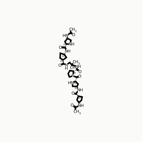 CC(=O)N[C@H]1CC[C@H](C(=O)N[C@H]2CN[C@H](C(=O)N3CCC[C@@H]3C(=O)NC(C)(C)CNC(=O)[C@H]3CC[C@H](NC(=O)[C@@H]4C[C@@H](NC(C)=O)CN4)C3)C2)C1